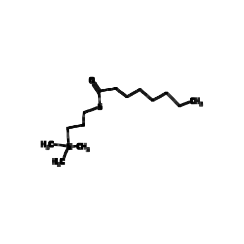 CCCCCCCC(=O)SCCC[Si](C)(C)C